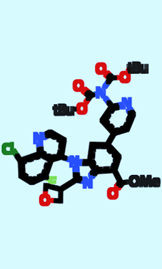 COC(=O)c1cc(-c2ccnc(N(C(=O)OC(C)(C)C)C(=O)OC(C)(C)C)c2)cc2c1nc(C1COC1)n2-c1ccnc2c(Cl)ccc(F)c12